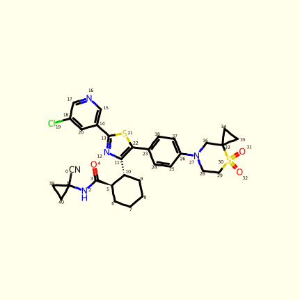 N#CC1(NC(=O)[C@@H]2CCCC[C@H]2c2nc(-c3cncc(Cl)c3)sc2-c2ccc(N3CCS(=O)(=O)C4(CC4)C3)cc2)CC1